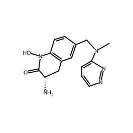 CN(Cc1ccc2c(c1)C[C@H](N)C(=O)N2O)c1cccnn1